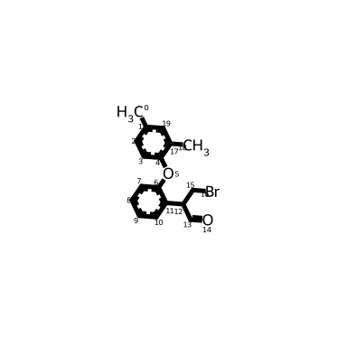 Cc1ccc(Oc2ccccc2C(C=O)CBr)c(C)c1